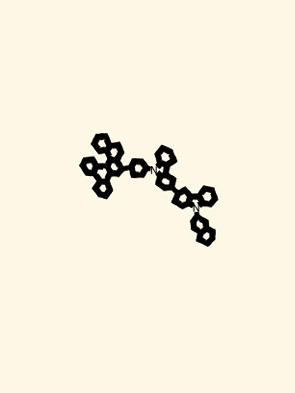 c1ccc2cc(-n3c4ccccc4c4cc(-c5ccc6c(c5)c5ccccc5n6-c5ccc(-c6cc7c8ccccc8c8ccccc8c7c7c6ccc6ccccc67)cc5)ccc43)ccc2c1